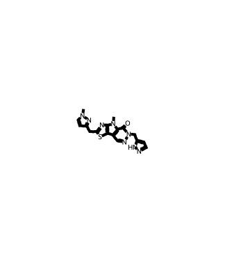 Cn1ccc(Cc2nc3c(s2)c2cnn(Cc4ccn[nH]4)c(=O)c2n3C)n1